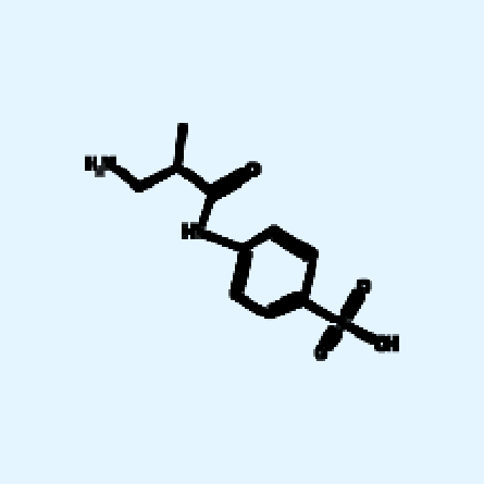 CC(CN)C(=O)Nc1ccc(S(=O)(=O)O)cc1